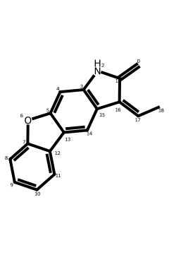 C=c1[nH]c2cc3oc4ccccc4c3cc2/c1=C/C